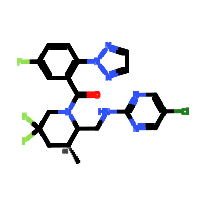 C[C@@H]1CC(F)(F)CN(C(=O)c2cc(F)ccc2-n2nccn2)C1CNc1ncc(Cl)cn1